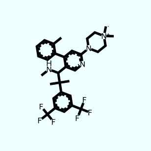 [CH2][N+]1(C)CCN(c2cc(-c3ccccc3C)c(C(NC)C(C)(C)c3cc(C(F)(F)F)cc(C(F)(F)F)c3)cn2)CC1